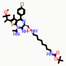 COC(C)(C)C(C)c1sc2c(c1C)C(c1ccc(Cl)cc1)=N[C@@H](CONCCCCCCCCNC(=O)OC(C)(C)C)C(=N)N2C(C)=N